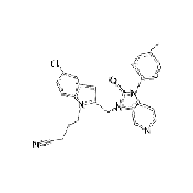 Cc1ccc(-n2c(=O)n(Cc3cc4cc(Cl)ccc4n3CCCC#N)c3cnccc32)cc1